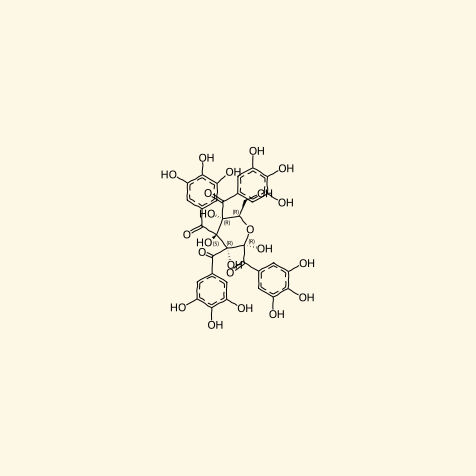 O=C(c1cc(O)c(O)c(O)c1)[C@@]1(O)[C@](O)(C(=O)c2cc(O)c(O)c(O)c2)[C@@](O)(C(=O)c2cc(O)c(O)c(O)c2)[C@@H](CO)O[C@@]1(O)C(=O)c1cc(O)c(O)c(O)c1